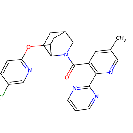 Cc1cnc(-c2ncccn2)c(C(=O)N2CC3CCC2C(Oc2ccc(Cl)cn2)C3)c1